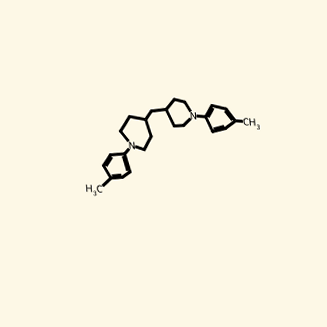 Cc1ccc(N2CCC(CC3CCN(c4ccc(C)cc4)CC3)CC2)cc1